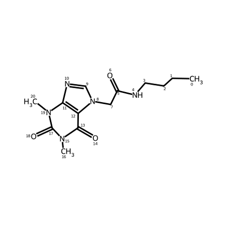 CCCCNC(=O)Cn1cnc2c1c(=O)n(C)c(=O)n2C